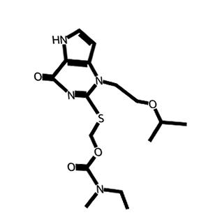 CCN(C)C(=O)OCSc1nc(=O)c2[nH]ccc2n1CCOC(C)C